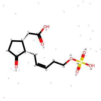 O=C(O)C[C@H]1CCC(=O)[C@H]1C/C=C\CCOS(=O)(=O)O